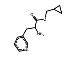 NC(Cc1cccnc1)C(=O)OCC1CC1